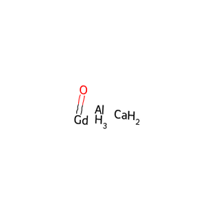 [AlH3].[CaH2].[O]=[Gd]